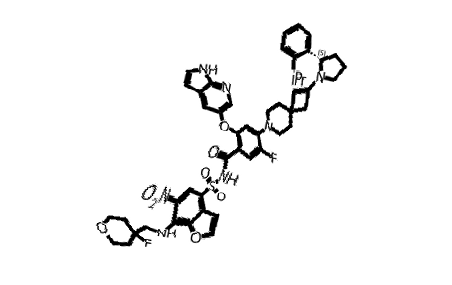 CC(C)c1ccccc1[C@@H]1CCCN1C1CC2(CCN(c3cc(Oc4cnc5[nH]ccc5c4)c(C(=O)NS(=O)(=O)c4cc([N+](=O)[O-])c(NCC5(F)CCOCC5)c5occc45)cc3F)CC2)C1